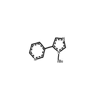 CCCCn1cncc1-c1cccnc1